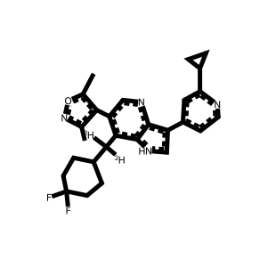 [2H]C([2H])(c1c(-c2c(C)noc2C)cnc2c(-c3ccnc(C4CC4)c3)c[nH]c12)C1CCC(F)(F)CC1